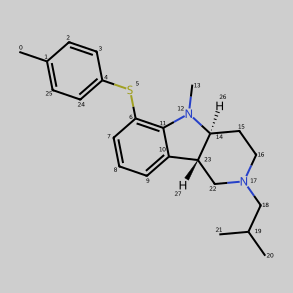 Cc1ccc(Sc2cccc3c2N(C)[C@H]2CCN(CC(C)C)C[C@H]32)cc1